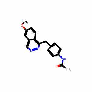 COc1ccc2c(Cc3ccc(NC(C)=O)cc3)nncc2c1